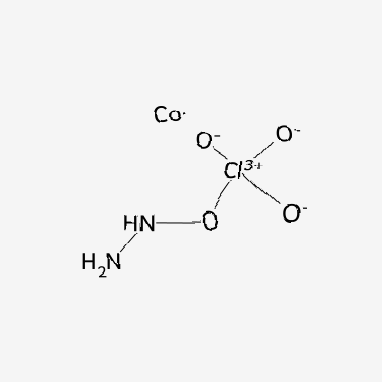 NNO[Cl+3]([O-])([O-])[O-].[Co]